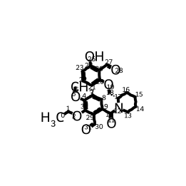 CCOc1c(OC)ccc(C(=O)N2CCCC[C@H]2COc2cccc(O)c2C=O)c1C=O